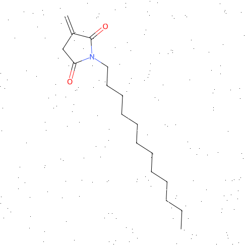 C=C1CC(=O)N(CCCCCCCCCCCC)C1=O